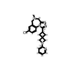 CN1Cc2cc(Cl)ccc2-n2c(nnc2C2CC3(C2)CN(c2ccccn2)C3)C1